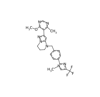 COc1ncnc(C)c1-c1cc2n(n1)CCCN2Cc1ccc(-c2nc(C(F)(F)F)cn2C)cc1